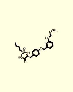 CCCCS(=O)(=O)N[C@@H](Cc1ccc(OCc2cccc(NC=NN)c2)cc1)C(=O)O